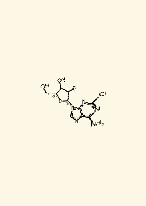 Nc1nc(Cl)nc2c1ncn2[C@H]1O[C@H](CO)C(O)C1F